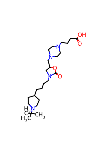 CC(C)(C)N1CCC(CCCCN2CC(CN3CCN(CCCC(=O)O)CC3)OC2=O)CC1